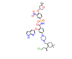 C=C(CCCl)C1=C(CN2CCN(c3ccc(C(=O)NS(=O)(=O)c4ccc(OC5COC6(CC6)C5)c([N+](=O)[O-])c4)c(Oc4cnc5[nH]ccc5c4)c3)CC2)CCC(C)(C)C1